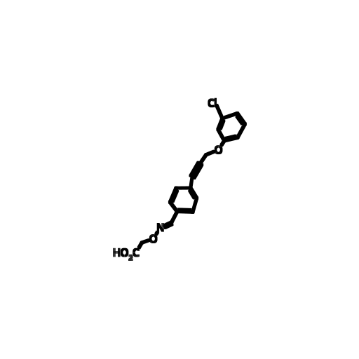 O=C(O)CON=Cc1ccc(C#CCOc2cccc(Cl)c2)cc1